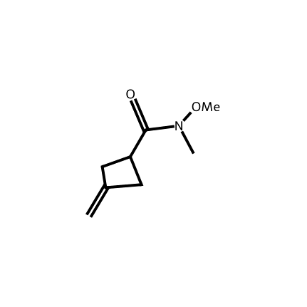 C=C1CC(C(=O)N(C)OC)C1